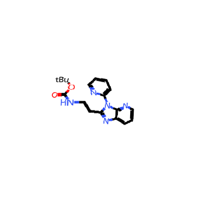 CC(C)(C)OC(=O)NCCc1nc2cccnc2n1-c1ccccn1